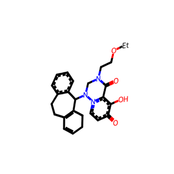 CCOCCN1CN(C2C3=C(C=CCC3)CCc3ccccc32)n2ccc(=O)c(O)c2C1=O